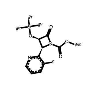 CC(C)[Si](O[C@H]1C(=O)N(C(=O)OC(C)(C)C)[C@H]1c1ncccc1F)(C(C)C)C(C)C